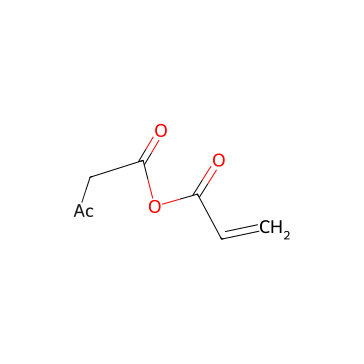 C=CC(=O)OC(=O)CC(C)=O